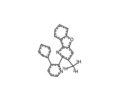 [2H]C([2H])([2H])c1cc2oc3ccccc3c2nc1-c1ncccc1-c1ccccc1